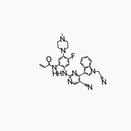 C=CC(=O)Nc1cc(N2CCN(C)CC2)c(F)cc1Nc1ncc(C#N)c(-c2cn(CC#N)c3ccccc23)n1